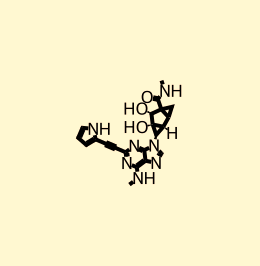 CNC(=O)C12CC1[C@H]1[C@@H](n3cnc4c(NC)nc(C#Cc5ccc[nH]5)nc43)[C@@]1(O)[C@@H]2O